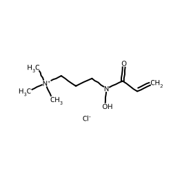 C=CC(=O)N(O)CCC[N+](C)(C)C.[Cl-]